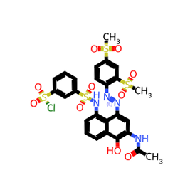 CC(=O)Nc1cc(/N=N/c2ccc(S(C)(=O)=O)cc2S(C)(=O)=O)c2c(NS(=O)(=O)c3cccc(S(=O)(=O)Cl)c3)cccc2c1O